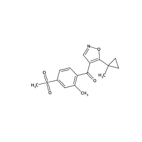 Cc1cc(S(C)(=O)=O)ccc1C(=O)c1cnoc1C1(C)CC1